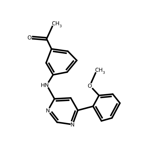 COc1ccccc1-c1cc(Nc2cccc(C(C)=O)c2)ncn1